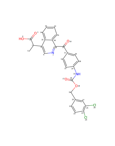 CC(C(=O)O)c1cnc(C(=O)c2ccc(NC(=O)OCc3ccc(Cl)c(Cl)c3)cc2)c2ccccc12